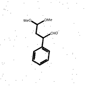 COC(CC(C=O)c1ccccc1)OC